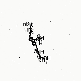 [2H]NC(=O)OCC1c2cc(CCCC(=O)NCCOCCCC)ccc2-c2ccc(CCCC(=O)NCCOC(C)CCO)cc21